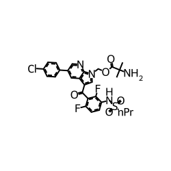 CCCS(=O)(=O)Nc1ccc(F)c(C(=O)c2cn(COC(=O)C(C)(C)N)c3ncc(-c4ccc(Cl)cc4)cc23)c1F